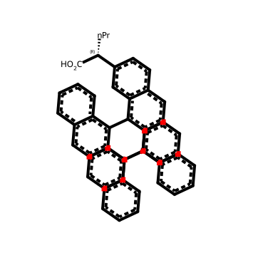 CCC[C@@H](C(=O)O)c1ccc2ccc(P(c3ccccc3)c3ccccc3)c(-c3c(P(c4ccccc4)c4ccccc4)ccc4ccccc34)c2c1